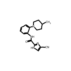 CC1CCN(c2ccccc2NC(=O)c2nc(C#N)c[nH]2)CC1